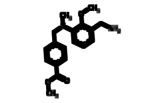 COC(=O)c1ccc(CN(C)c2cccc(CN)c2OC)cc1